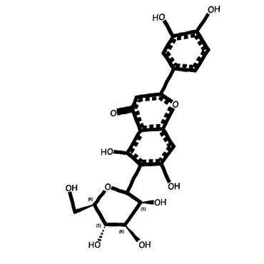 O=c1cc(-c2ccc(O)c(O)c2)oc2cc(O)c(C3O[C@H](CO)[C@@H](O)[C@H](O)[C@@H]3O)c(O)c12